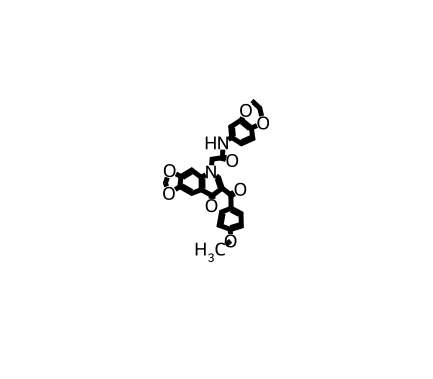 COc1ccc(C(=O)c2cn(CC(=O)Nc3ccc4c(c3)OCCO4)c3cc4c(cc3c2=O)OCO4)cc1